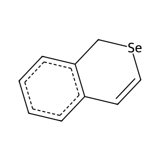 C1=Cc2ccccc2C[Se]1